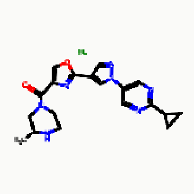 C[C@H]1CN(C(=O)c2coc(-c3cnn(-c4cnc(C5CC5)nc4)c3)n2)CCN1.Cl